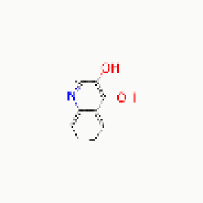 Oc1[c]nc2ccccc2c1O